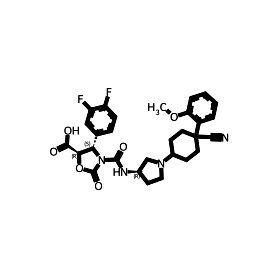 COc1ccccc1C1(C#N)CCC(N2CC[C@@H](NC(=O)N3C(=O)O[C@@H](C(=O)O)[C@@H]3c3ccc(F)c(F)c3)C2)CC1